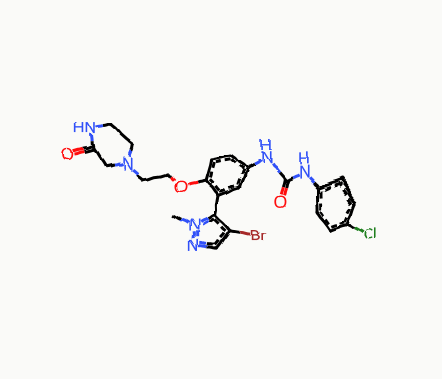 Cn1ncc(Br)c1-c1cc(NC(=O)Nc2ccc(Cl)cc2)ccc1OCCN1CCNC(=O)C1